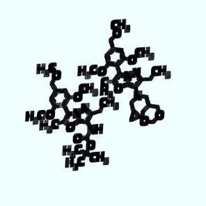 CCc1nn2c(-c3c(OC)cc(COC)cc3OC)c(C)oc2c1N(CC1CC1)CC1COCOC1.CCc1nn2c(-c3c(OC)cc(COC)cc3OC)c(C)oc2c1NC(=O)OC(C)(C)C